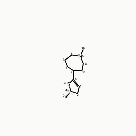 C[C@@H]1CC=C(C2CCCN(C)CC2)S1